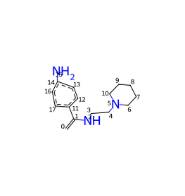 C=C(NCCN1CCCCC1)c1ccc(N)cc1